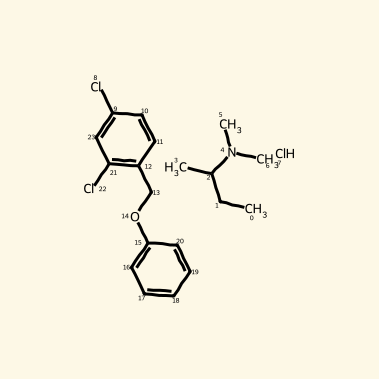 CCC(C)N(C)C.Cl.Clc1ccc(COc2ccccc2)c(Cl)c1